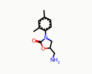 Cc1ccc(N2CC(CN)OC2=O)c(C)c1